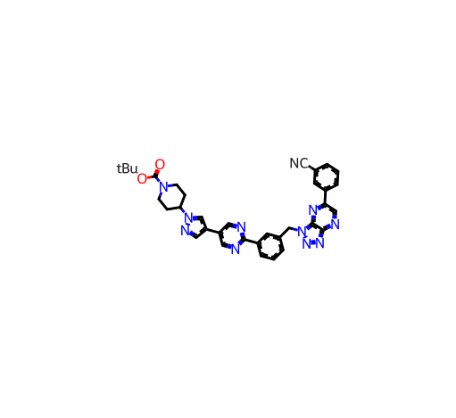 CC(C)(C)OC(=O)N1CCC(n2cc(-c3cnc(-c4cccc(Cn5nnc6ncc(-c7cccc(C#N)c7)nc65)c4)nc3)cn2)CC1